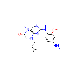 COc1cc(N)ccc1Nc1ncc2c(n1)N(CCC(C)C)[C@H](C)C(=O)N2C